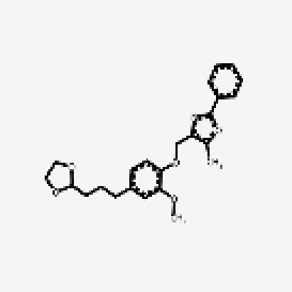 COc1cc(CCCC2OCCO2)ccc1OCc1nc(-c2ccccc2)oc1C